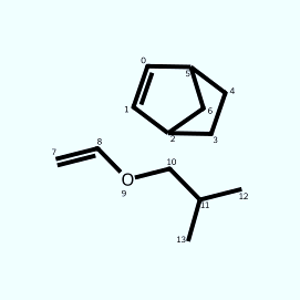 C1=CC2CCC1C2.C=COCC(C)C